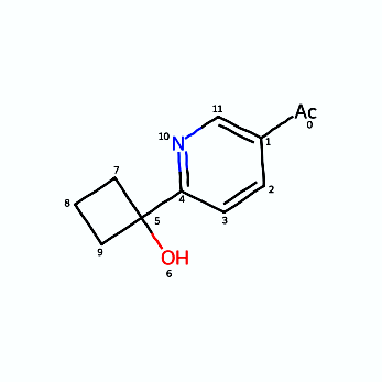 CC(=O)c1ccc(C2(O)CCC2)nc1